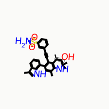 Cc1cc(-c2cccc3c(C)c[nH]c23)c(C#Cc2cccc(S(N)(=O)=O)c2)c2c1NC(C)(C)[C@@H](O)[C@@H]2C